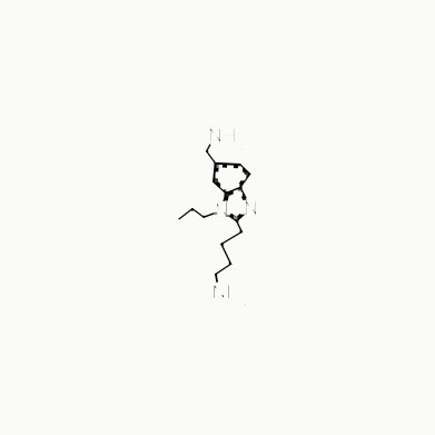 CCCn1c(CCCCN)nc2ccc(CN)cc21